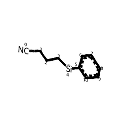 N#CCCC[Si]c1ccccc1